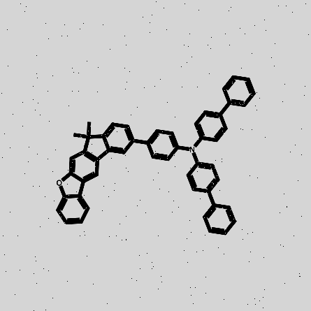 CC1(C)c2ccc(-c3ccc(N(c4ccc(-c5ccccc5)cc4)c4ccc(-c5ccccc5)cc4)cc3)cc2-c2cc3c(cc21)oc1ccccc13